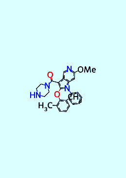 COc1cc2c(cn1)c(C(=O)N1CCNCC1)c(Oc1c(C)cccc1C)n2-c1ccccc1